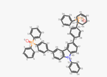 O=P(c1ccccc1)(c1ccccc1)c1ccc(-c2ccc3c(c2)c2cc(-c4ccc([PH]5(c6ccccc6)OC6C=CC5CC6)cc4)ccc2n3-c2ccccc2)cc1